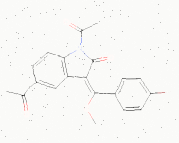 COC(=C1C(=O)N(C(C)=O)c2ccc(C(C)=O)cc21)c1ccc(Br)cc1